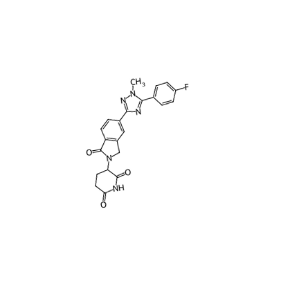 Cn1nc(-c2ccc3c(c2)CN(C2CCC(=O)NC2=O)C3=O)nc1-c1ccc(F)cc1